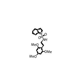 COc1cc(OC)c(/C=C/NS(=O)(=O)n2ccc3ccccc32)c(OC)c1